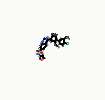 COc1cc(-c2ccc(Cl)c(C)c2)c(C)cc1-c1ncnc2cc(S(=O)(=O)Nc3ccon3)ccc12